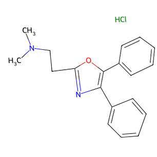 CN(C)CCc1nc(-c2ccccc2)c(-c2ccccc2)o1.Cl